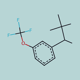 CC(c1cccc(OC(F)(F)F)c1)C(C)(C)C